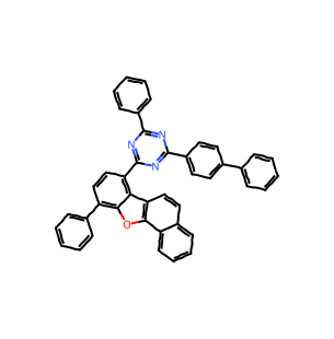 c1ccc(-c2ccc(-c3nc(-c4ccccc4)nc(-c4ccc(-c5ccccc5)c5oc6c7ccccc7ccc6c45)n3)cc2)cc1